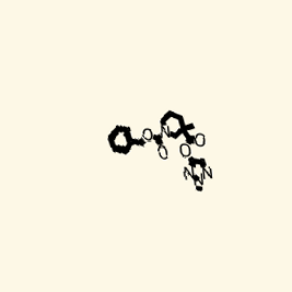 Cn1ncc(OC(=O)C2(C)CCCN(C(=O)OCc3ccccc3)C2)n1